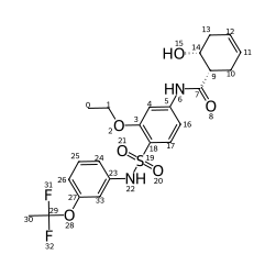 CCOc1cc(NC(=O)[C@H]2CC=CC[C@H]2O)ccc1S(=O)(=O)Nc1cccc(OC(C)(F)F)c1